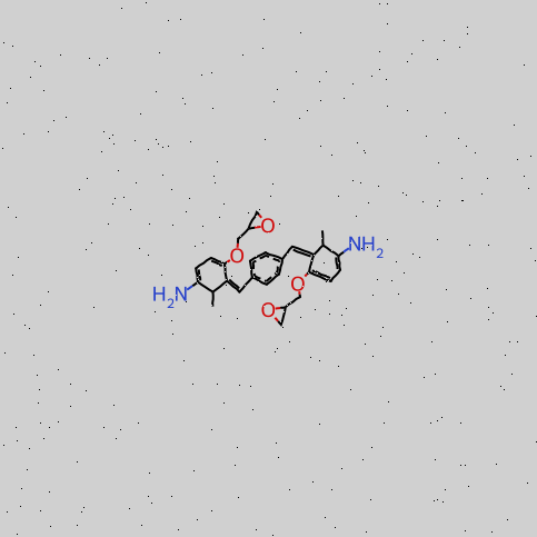 CC1C(N)=CC=C(OCC2CO2)C1=Cc1ccc(C=C2C(OCC3CO3)=CC=C(N)C2C)cc1